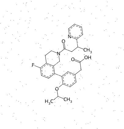 CC(C)Oc1ccc(CC(=O)O)cc1-c1ccc(F)c2c1CN(C(=O)CC(C)c1ccccn1)CC2